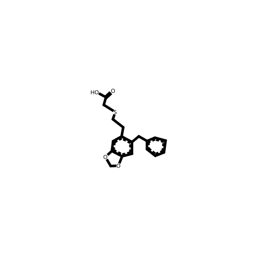 O=C(O)CSCCc1cc2c(cc1Cc1ccccc1)OCO2